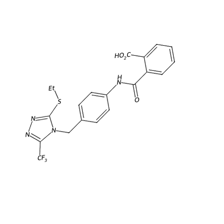 CCSc1nnc(C(F)(F)F)n1Cc1ccc(NC(=O)c2ccccc2C(=O)O)cc1